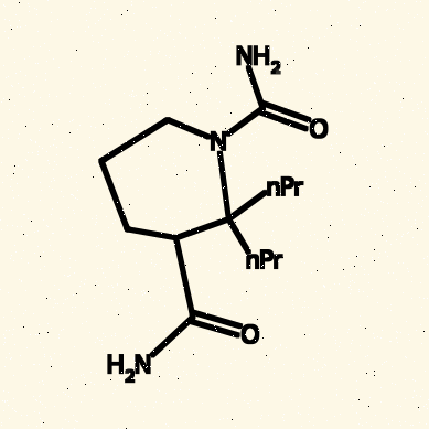 CCCC1(CCC)C(C(N)=O)CCCN1C(N)=O